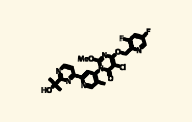 COc1nc(OCc2ncc(F)cc2F)c(Cl)c(=O)n1-c1cc(-c2ccnc(C(C)(C)O)n2)ncc1C